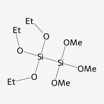 CCO[Si](OCC)(OCC)[Si](OC)(OC)OC